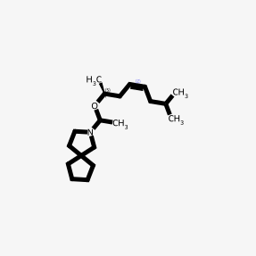 CC(C)C/C=C\C[C@H](C)OC(C)N1CCC2(CCCC2)C1